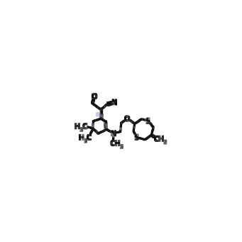 C=C1CSCC(OCCN(C)C2=C/C(=C(\C#N)C=O)CC(C)(C)C2)CSC1